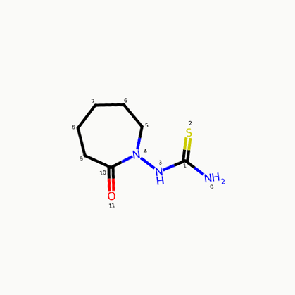 NC(=S)NN1CCCCCC1=O